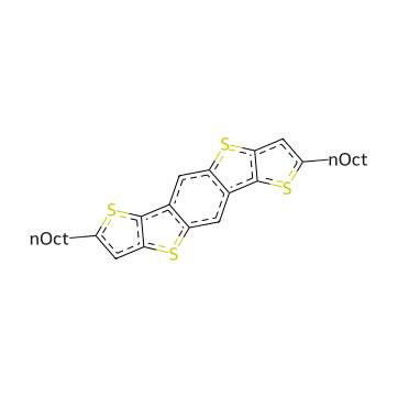 CCCCCCCCc1cc2sc3cc4c(cc3c2s1)sc1cc(CCCCCCCC)sc14